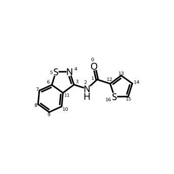 O=C(Nc1nsc2ccccc12)c1cccs1